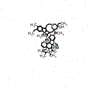 CCc1cc2[nH]c3c(c2cc1C)CCN1C[C@H](C[C@@](O)(CC)C1)C[C@]3(C(=O)OC)C1C=C2C(=CC1OC)N(C=O)[C@H]1[C@@](O)(C(=O)OC)[C@H](OC(C)=O)[C@]3(CC)C=CCN4CC[C@]21[C@@H]43